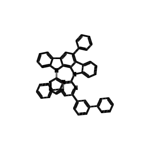 c1ccc(-c2cccc(-c3cc(-c4ccccc4)nc(-n4c5ccccc5c5c(-c6ccccc6)cc6c7ccccc7n(-c7ccccc7)c6c54)n3)c2)cc1